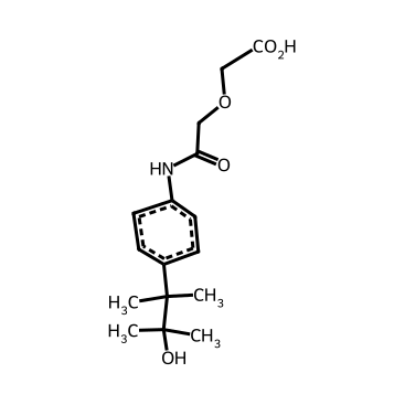 CC(C)(O)C(C)(C)c1ccc(NC(=O)COCC(=O)O)cc1